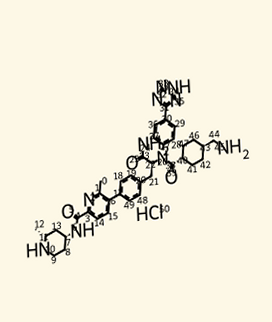 Cc1nc(C(=O)N[C@@H]2CCN[C@H](C)C2)ccc1-c1ccc(C[C@@H](C(N)=O)N(c2ccc(-c3nn[nH]n3)cc2)C(=O)[C@H]2CC[C@H](CN)CC2)cc1.Cl